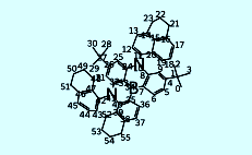 CC(C)(C)c1ccc2c(c1)N(c1ccc3c4c(cccc14)CCC3)c1cc(C(C)(C)C)cc3c1B2c1ccc2c(c1N3c1cccc3c1CCCC3)CCCC2